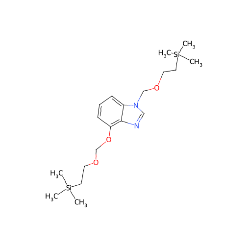 C[Si](C)(C)CCOCOc1cccc2c1ncn2COCC[Si](C)(C)C